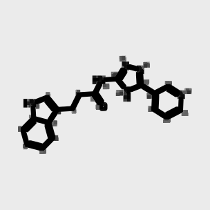 O=C(CCc1c[nH]c2ccccc12)Nc1nnc(-c2cccnc2)[nH]1